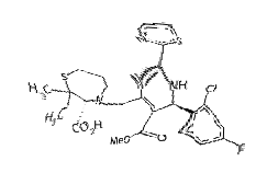 COC(=O)C1=C(CN2CCSC(C)(C)[C@H]2C(=O)O)N=C(c2nccs2)N[C@H]1c1ccc(F)cc1Cl